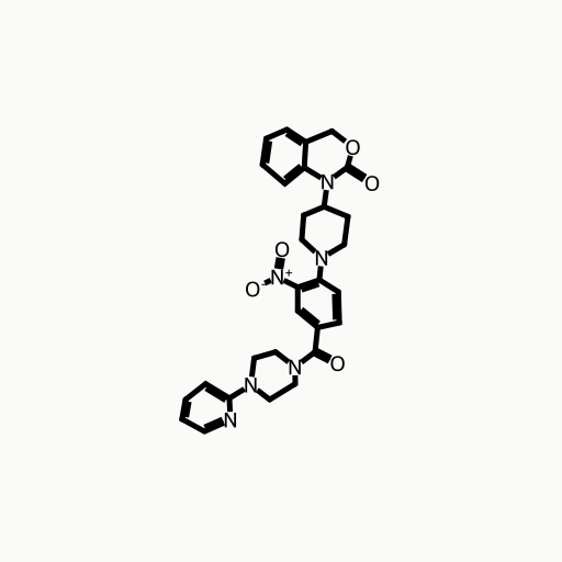 O=C(c1ccc(N2CCC(N3C(=O)OCc4ccccc43)CC2)c([N+](=O)[O-])c1)N1CCN(c2ccccn2)CC1